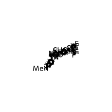 CNC1Cc2ccc(-c3cnc4n3N=CN(CC3(O)CCN(C(=O)C[C@@H](C(F)F)n5ccc(F)n5)CC3)C4C=O)cc2C1